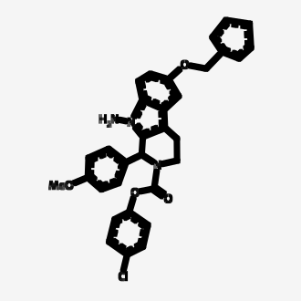 COc1ccc(C2c3c(c4cc(OCc5ccccc5)ccc4n3N)CCN2C(=O)Oc2ccc(Cl)cc2)cc1